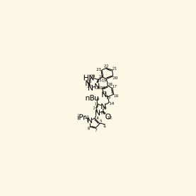 CCCCc1cn(-c2c(C)ccn2C(C)C)c(=O)n1Cc1ccc(-c2ccccc2-c2nnn[nH]2)cn1